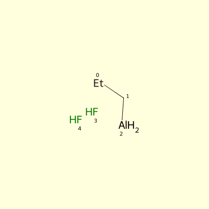 CC[CH2][AlH2].F.F